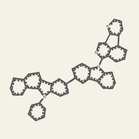 c1ccc(-n2c3ccc(-c4ccc5c(c4)c4ccccc4n5-c4ncc5c6c(cccc46)-c4cccnc4-5)cc3c3ccc4ccccc4c32)cc1